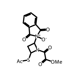 COC(=O)C(=O)N1C(SC(C)=O)CC1[N+]1([O-])C(=O)c2ccccc2C1=O